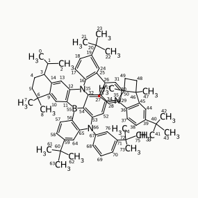 CC(C)C1CCC(C)(C)c2cc3c(cc21)N(c1ccc(C(C)(C)C)cc1-c1ccccc1)c1cc(N2c4ccc(C(C)(C)C)cc4C4(C)CCC24C)cc2c1B3c1ccc(C(C)(C)C)cc1N2c1cccc(C(C)(C)C)c1